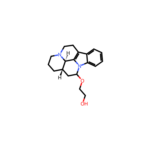 OCCOC1C[C@@H]2CCCN3CCc4c(n1c1ccccc41)[C@@H]23